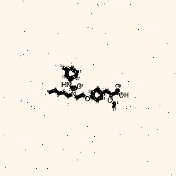 CCCCCN(CCOc1ccc(CC(OCC)C(=O)O)cc1)C(=O)Nc1cccc(C)c1